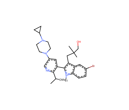 CCn1c(-c2cc(N3CCN(C4CC4)CC3)cnc2C(C)OC)c(CC(C)(C)CO)c2cc(Br)ccc21